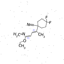 C=N/C(=C\C=C(/C)C1(C#N)CCC(F)(F)CC1)OCC